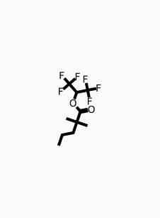 CCCC(C)(C)C(=O)OC(C(F)(F)F)C(F)(F)F